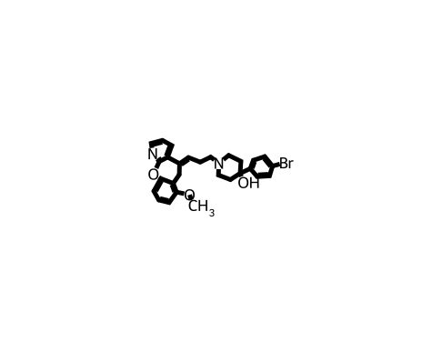 COc1cccc2c1CC(=CCCN1CCC(O)(c3ccc(Br)cc3)CC1)c1cccnc1O2